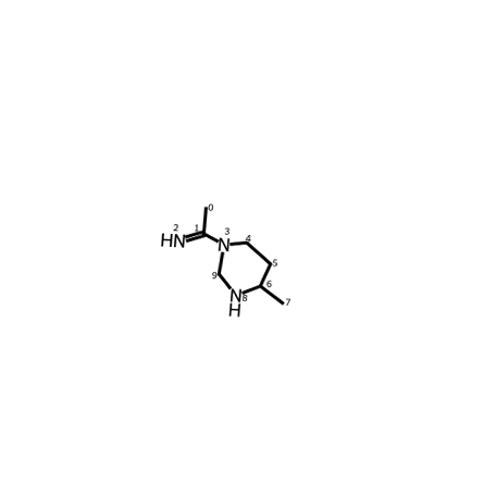 CC(=N)N1CCC(C)NC1